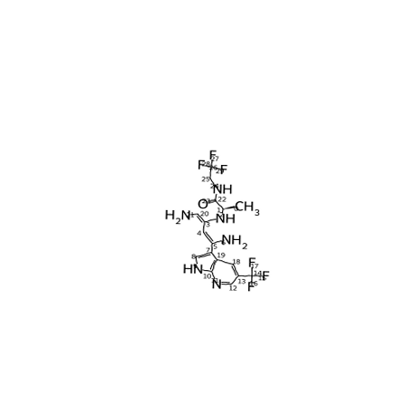 C[C@@H](NC(/C=C(\N)c1c[nH]c2ncc(C(F)(F)F)cc12)=C/N)C(=O)NCC(F)(F)F